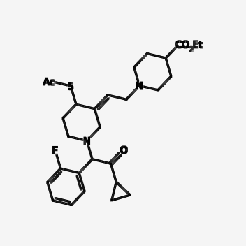 CCOC(=O)C1CCN(C/C=C2\CN(C(C(=O)C3CC3)c3ccccc3F)CCC2SC(C)=O)CC1